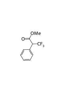 COC(=O)C(c1ccccc1)C(F)(F)F